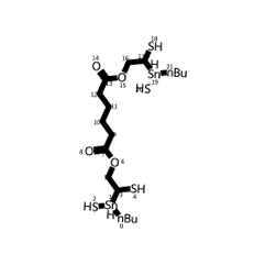 CCC[CH2][SnH]([SH])[CH](S)COC(=O)CCCCC(=O)OC[CH](S)[SnH]([SH])[CH2]CCC